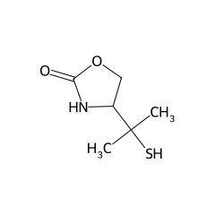 CC(C)(S)C1COC(=O)N1